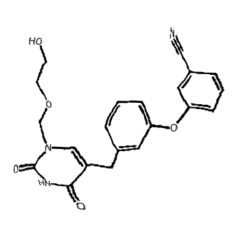 N#Cc1cccc(Oc2cccc(Cc3cn(COCCO)c(=O)[nH]c3=O)c2)c1